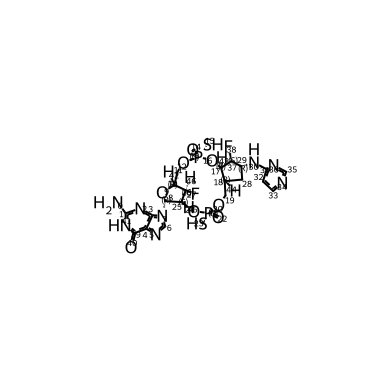 Nc1nc2c(ncn2[C@@H]2O[C@@H]3CO[P@](=O)(S)O[C@@H]4[C@@H](CO[P@@](=O)(S)O[C@@H]2[C@@H]3F)C[C@@H](Nc2ccncn2)[C@@H]4F)c(=O)[nH]1